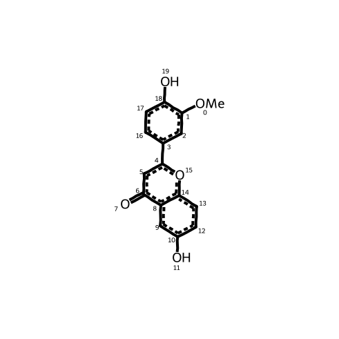 COc1cc(-c2cc(=O)c3cc(O)ccc3o2)ccc1O